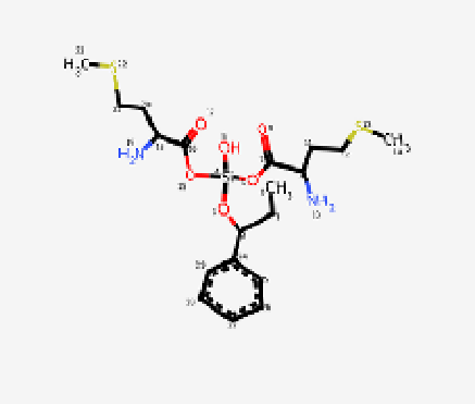 CCC(O[Si](O)(OC(=O)C(N)CCSC)OC(=O)C(N)CCSC)c1ccccc1